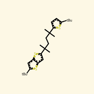 CC(C)(C)c1ccc(C(C)(C)CCC(C)(C)c2cc3sc(C(C)(C)C)cc3s2)s1